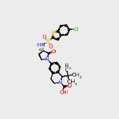 CC(C)(C)C1c2ccc(N3CC[C@H](NS(=O)(=O)c4cc5cc(Cl)ccc5s4)C3=O)cc2CCN1C(=O)O